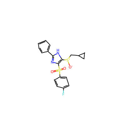 O=S(=O)(c1ccc(F)cc1)c1nc(-c2ccccc2)[nH]c1[S+]([O-])CC1CC1